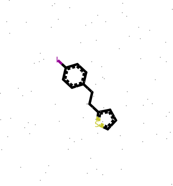 Ic1ccc(C[CH]c2cccs2)cc1